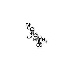 CC1(NC(=O)c2ccc3c(c2)c(C=O)nn3-c2cccc(OC(F)F)c2)CS(=O)(=O)C1